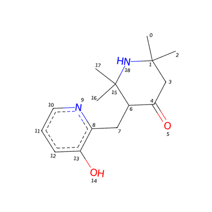 CC1(C)CC(=O)C(Cc2ncccc2O)C(C)(C)N1